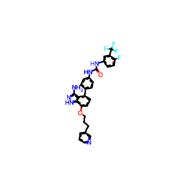 Nc1n[nH]c2c(OCCCc3cccnc3)ccc(-c3ccc(NC(=O)Nc4ccc(F)c(C(F)(F)F)c4)cc3)c12